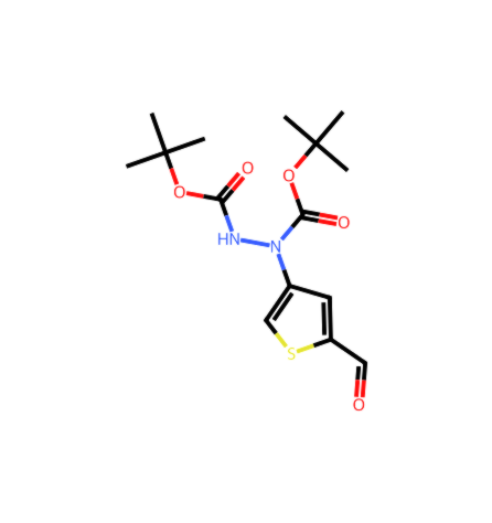 CC(C)(C)OC(=O)NN(C(=O)OC(C)(C)C)c1csc(C=O)c1